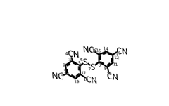 N#Cc1cc(C#N)c(SSc2c(C#N)cc(C#N)cc2C#N)c(C#N)c1